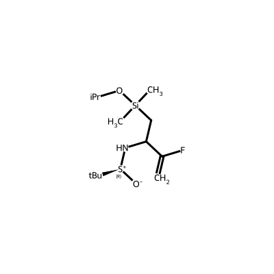 C=C(F)C(C[Si](C)(C)OC(C)C)N[S@@+]([O-])C(C)(C)C